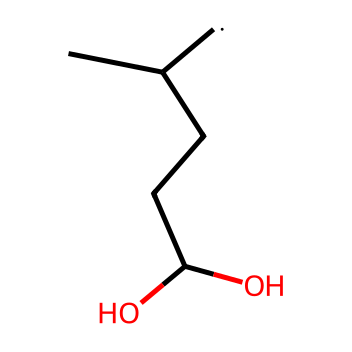 [CH2]C(C)CCC(O)O